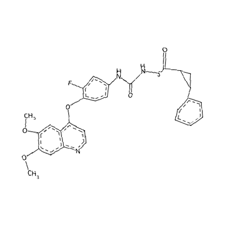 COc1cc2nccc(Oc3ccc(NC(=O)NSC(=O)C4CC4c4ccccc4)cc3F)c2cc1OC